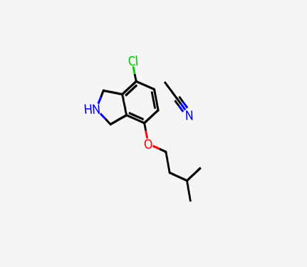 CC#N.CC(C)CCOc1ccc(Cl)c2c1CNC2